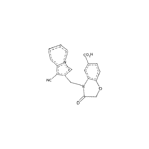 N#Cc1c(CN2C(=O)COc3ccc(C(=O)O)cc32)cn2ccccc12